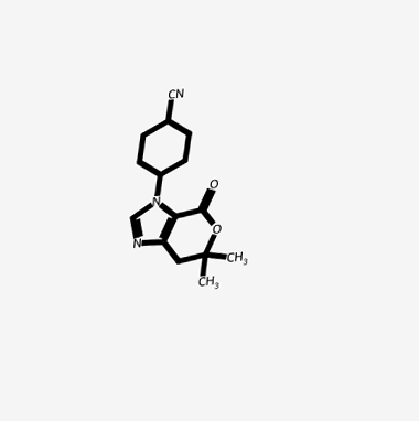 CC1(C)Cc2ncn(C3CCC(C#N)CC3)c2C(=O)O1